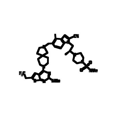 CNc1nc(N2CCC3(CCN(Cc4ccc5c(cc(C#N)n5C[C@H](C)N5CCN(S(=O)(=O)NC)CC5)c4C)C3)CC2)c2cc(CC(F)(F)F)sc2n1